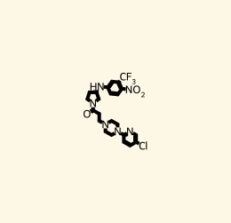 O=C(CCN1CCN(c2ccc(Cl)cn2)CC1)N1CC[C@@H](Nc2ccc([N+](=O)[O-])c(C(F)(F)F)c2)C1